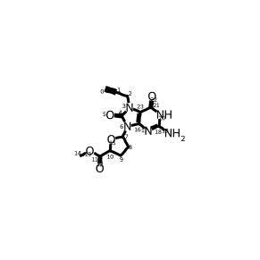 C#CCn1c(=O)n(C2CCC(C(=O)OC)O2)c2nc(N)[nH]c(=O)c21